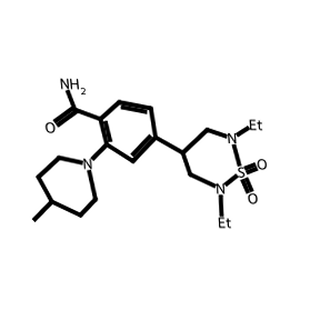 CCN1CC(c2ccc(C(N)=O)c(N3CCC(C)CC3)c2)CN(CC)S1(=O)=O